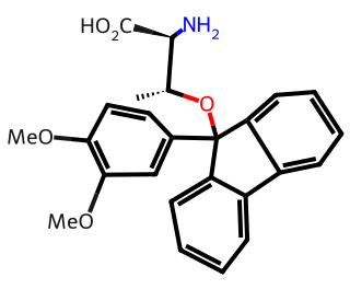 COc1ccc(C2(O[C@H](C)[C@H](N)C(=O)O)c3ccccc3-c3ccccc32)cc1OC